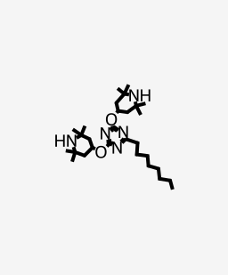 CCCCCCCCc1nc(OC2CC(C)(C)NC(C)(C)C2)nc(OC2CC(C)(C)NC(C)(C)C2)n1